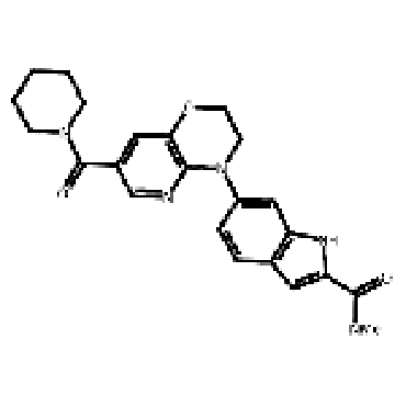 CNC(=O)c1cc2ccc(N3CCOc4cc(C(=O)N5CCCCC5)cnc43)cc2[nH]1